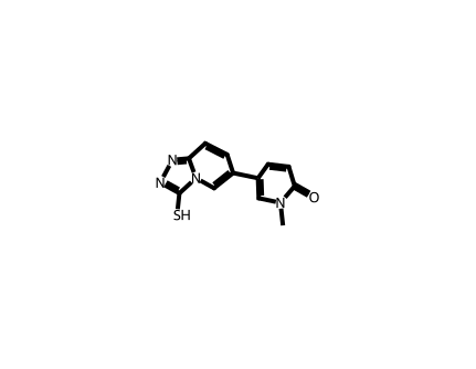 Cn1cc(-c2ccc3nnc(S)n3c2)ccc1=O